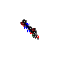 COc1ccc(F)c(-c2ccc(OC)c(S(=O)(=O)Nc3cccc(NCCNC(=O)c4ccccc4OC)c3)c2)c1